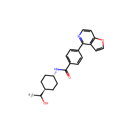 O=C(N[C@H]1CC[C@H](C(O)C(F)(F)F)CC1)c1ccc(-c2nccc3occc23)cc1